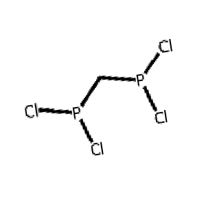 ClP(Cl)CP(Cl)Cl